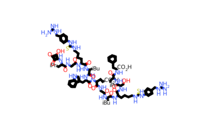 CCC(C)C(NC(=O)CNC(=O)C(CCC(=O)O)NC(=O)C(Cc1c[nH]c2ccccc12)NC(=O)C(NC(=O)C(CCCCNC(=S)Nc1ccc(CNC(=N)N)cc1)NC(=O)CNC(=O)C(CC(C)C)Nc1c(O)c(=O)c1=O)C(C)CC)C(=O)NC(CCCCNC(=S)Nc1ccc(CNC(=N)N)cc1)C(=O)NC(CO)C(=O)NC(CC(C)C)C(=O)NC(Cc1ccccc1)C(=O)O